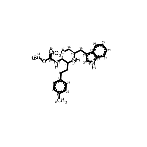 Cc1ccc(CCC(CNC(=O)OC(C)(C)C)N[C@@H](CC(=O)O)Cc2c[nH]c3ccccc23)cc1